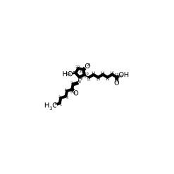 CCCCCC(=O)C=C[C@H]1[C@H](CCCCCCC(=O)O)C(=O)C[C@@H]1O